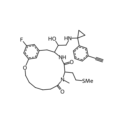 C#Cc1cccc(C2(NCC(O)C3Cc4cc(F)cc(c4)OCCCCCC(=O)N(C)C(CCSC)C(=O)N3)CC2)c1